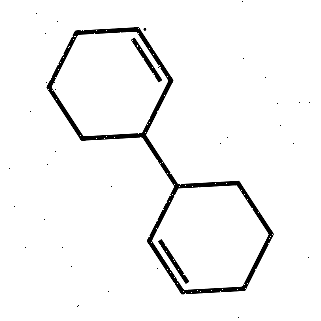 [C]1=CC(C2C=CCCC2)CCC1